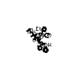 CCc1ccccc1[C@H](Cn1c(=O)n(C(C)(C)C(=O)CC(C)(C)[Si](O)(c2ccccc2)c2ccccc2)c(=O)c2c(C)c(-c3ncco3)sc21)OC1CCOCC1